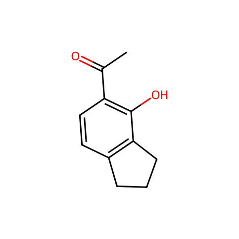 CC(=O)c1ccc2c(c1O)CCC2